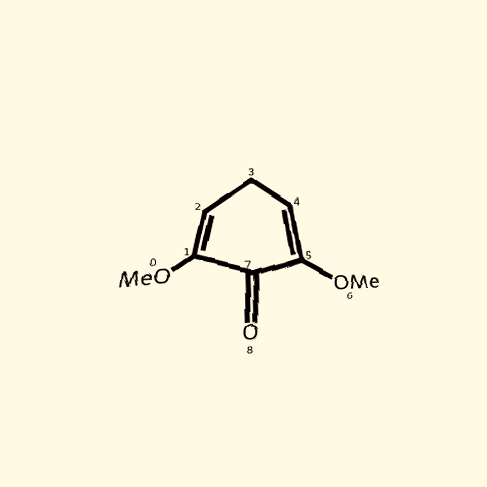 COC1=CCC=C(OC)C1=O